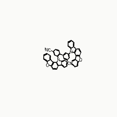 N#Cc1cc(-c2ccc(C#N)cc2-n2c3ccccc3c3ccc4oc5ccccc5c4c32)cc(-n2c3ccccc3c3ccc4oc5ccccc5c4c32)c1